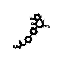 COC(=O)C[C@H]1CC[C@H](c2ccc(N3C[C@@H](C)Oc4ncnc(Cl)c4C3=O)cc2)CC1